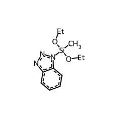 CCO[Si](C)(OCC)n1nnc2ccccc21